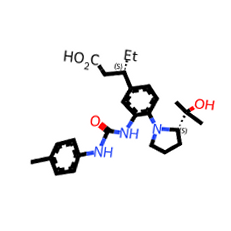 CC[C@@H](CC(=O)O)c1ccc(N2CCC[C@H]2C(C)(C)O)c(NC(=O)Nc2ccc(C)cc2)c1